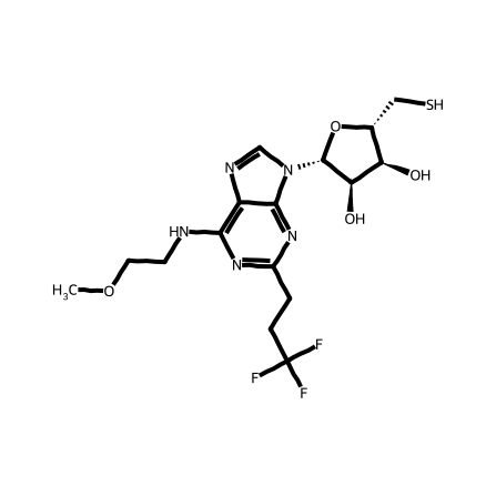 COCCNc1nc(CCC(F)(F)F)nc2c1ncn2[C@@H]1O[C@H](CS)[C@@H](O)[C@H]1O